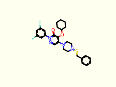 O=c1c(OC2CCCCC2)c(N2CCN(SCc3ccccc3)CC2)cnn1-c1cc(F)cc(F)c1